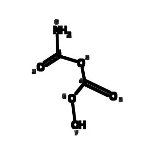 NC(=O)OC(=O)OO